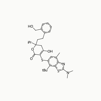 Cc1cc(SC2=C(O)CC(CCc3ccccc3CO)(C(C)C)OC2=O)c(C(C)(C)C)c2sc(N(C)C)nc12